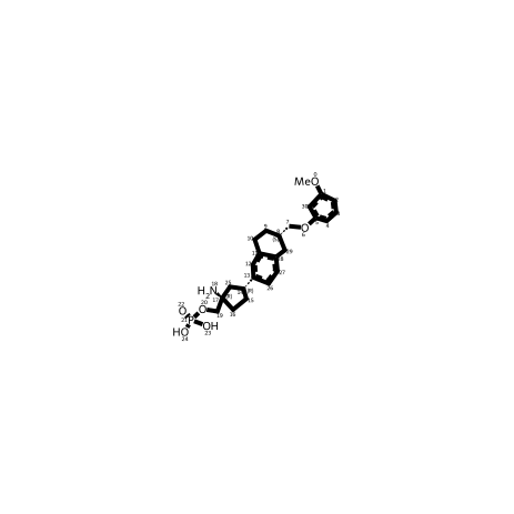 COc1cccc(OC[C@H]2CCc3cc([C@@H]4CC[C@](N)(COP(=O)(O)O)C4)ccc3C2)c1